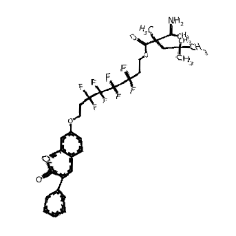 CC(N)C(C)(CC(C)(C)C)C(=O)OCCC(F)(F)C(F)(F)C(F)(F)C(F)(F)CCOc1ccc2cc(-c3ccccc3)c(=O)oc2c1